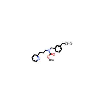 CC(C)(C)OC(=O)N(CCCc1ccccn1)Cc1cccc(CC=O)c1